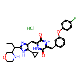 CCC(c1nc(/C=c2\[nH]c(=O)/c(=C/c3cccc(Oc4ccc(F)cc4)c3)[nH]c2=O)c(C2CC2)[nH]1)C1COCCN1.Cl